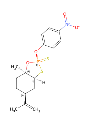 C=C(C)[C@H]1CC[C@@]2(C)O[P@@](=S)(Oc3ccc([N+](=O)[O-])cc3)S[C@H]2C1